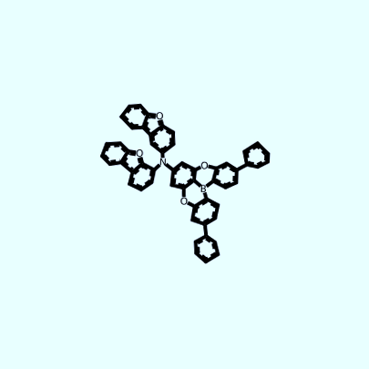 c1ccc(-c2ccc3c(c2)Oc2cc(N(c4ccc5oc6ccccc6c5c4)c4cccc5c4oc4ccccc45)cc4c2B3c2ccc(-c3ccccc3)cc2O4)cc1